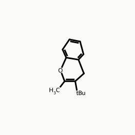 CC1=C(C(C)(C)C)Cc2ccccc2O1